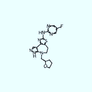 Fc1cnc(Nc2nc3c(s2)CCN(CC2CCCO2)c2[nH]ncc2-3)nc1